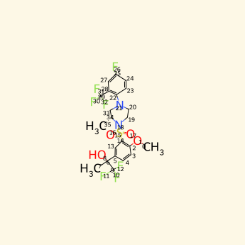 COc1ccc(C(C)(O)C(F)(F)F)cc1S(=O)(=O)N1CCN(c2ccc(F)cc2C(F)(F)F)C[C@H]1C